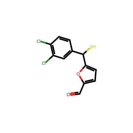 O=Cc1ccc(C(S)c2ccc(Cl)c(Cl)c2)o1